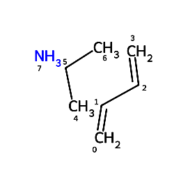 C=CC=C.CCC.N